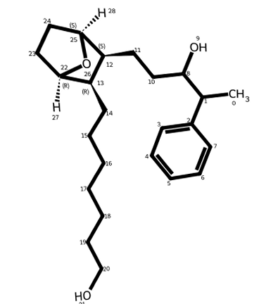 CC(c1ccccc1)C(O)CC[C@H]1[C@@H](CCCCCCCO)[C@H]2CC[C@@H]1O2